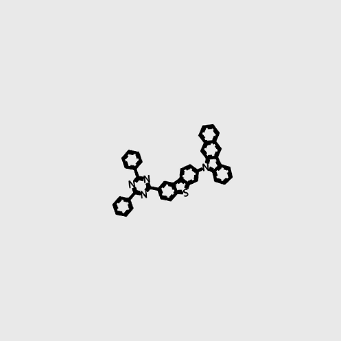 c1ccc(-c2nc(-c3ccccc3)nc(-c3ccc4sc5cc(-n6c7ccccc7c7cc8ccccc8cc76)ccc5c4c3)n2)cc1